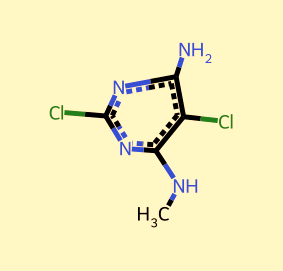 CNc1nc(Cl)nc(N)c1Cl